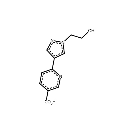 O=C(O)c1ccc(-c2cnn(CCO)c2)nc1